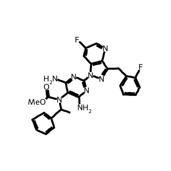 COC(=O)N(c1c(N)nc(-n2nc(Cc3ccccc3F)c3ncc(F)cc32)nc1N)C(C)c1ccccc1